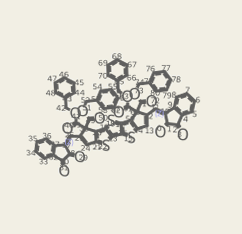 O=C1C(=O)c2ccccc2/C1=C/C1=Cc2sc3c(sc4c5c(sc43)C=C(/C=C3\C(=O)C(=O)c4ccccc43)C5(C(=O)OCc3ccccc3)C(=O)OCc3ccccc3)c2C1(C(=O)OCc1ccccc1)C(=O)OCc1ccccc1